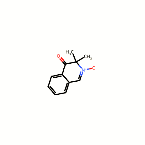 CC1(C)C(=O)c2ccccc2C=[N+]1[O-]